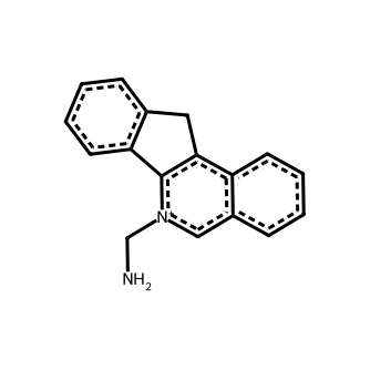 NC[n+]1cc2ccccc2c2c1-c1ccccc1C2